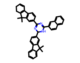 CC1(C)C2=C(C=CCC2)c2ccc(C3=NC(c4ccc5c(c4)C(C)(C)c4ccccc4-5)NC(c4ccc5ccccc5c4)=N3)cc21